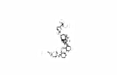 CNC1CCN(c2cccc(-c3cccc(-c4nc5cc(CN6CC[C@@H](C(=O)O)C6)cc(Cl)c5o4)c3C)c2Cl)CC1